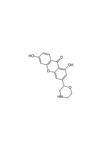 O=c1c2ccc(O)cc2oc2cc(C3CNCCO3)cc(O)c12